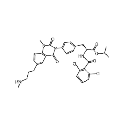 CNCCCc1ccc2c(c1)c(=O)n(-c1ccc(C[C@H](NC(=O)c3c(Cl)cccc3Cl)C(=O)OC(C)C)cc1)c(=O)n2C